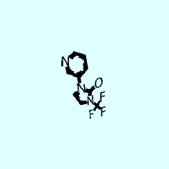 O=c1n(-c2cccnc2)ccn1C(F)(F)F